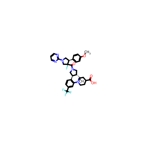 CC[C@H]1CN(C(=O)[C@]2(F)CN(c3ncccn3)C[C@H]2c2ccc(OC)cc2)C[C@@H]1c1ccc(C(F)(F)F)cc1N1CCC(C(=O)O)CC1